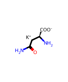 NC(=O)C[C@H](N)C(=O)[O-].[K+]